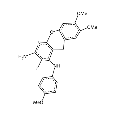 [C]c1c(N)nc2c(c1Nc1ccc(OC)cc1)Cc1cc(OC)c(OC)cc1O2